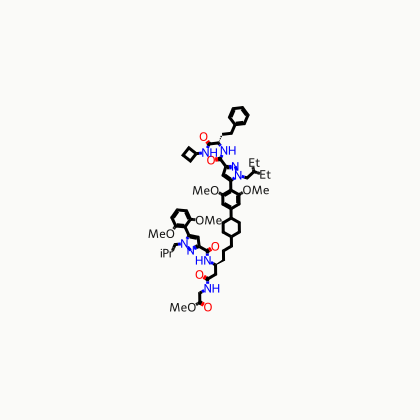 CCC(CC)Cn1nc(C(=O)N[C@@H](CCc2ccccc2)C(=O)NC2CCC2)cc1-c1c(OC)cc(C2CCC(CCC[C@@H](CC(=O)NCC(=O)OC)NC(=O)c3cc(-c4c(OC)cccc4OC)n(CC(C)C)n3)CC2)cc1OC